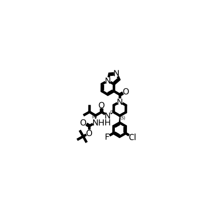 CC(C)[C@@H](NC(=O)OC(C)(C)C)C(=O)N[C@@H]1CN(C(=O)c2cccn3cncc23)CC[C@H]1c1cc(F)cc(Cl)c1